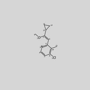 COC(=Cc1nccc(Cl)c1C)C1CC1